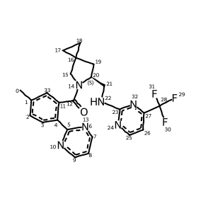 Cc1ccc(-c2ncccn2)c(C(=O)N2CC3(CC3)C[C@H]2CNc2nccc(C(F)(F)F)n2)c1